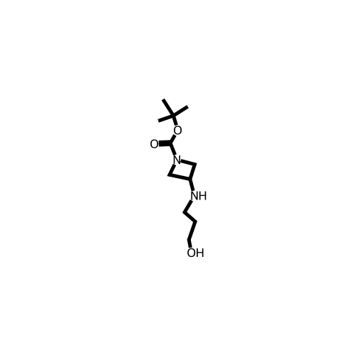 CC(C)(C)OC(=O)N1CC(NCCCO)C1